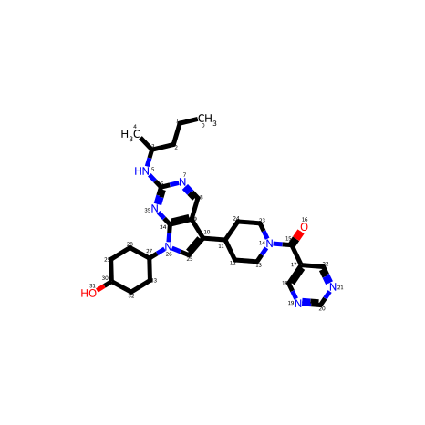 CCCC(C)Nc1ncc2c(C3CCN(C(=O)c4cncnc4)CC3)cn(C3CCC(O)CC3)c2n1